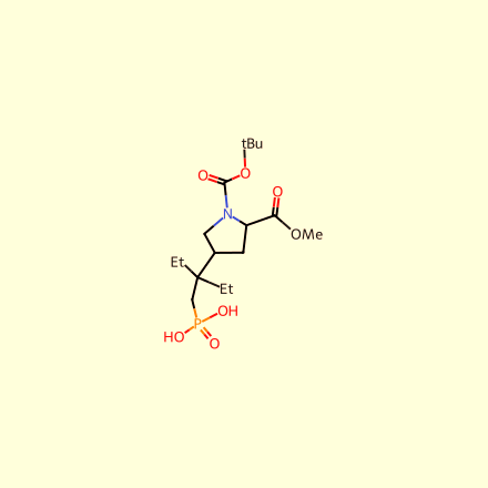 CCC(CC)(CP(=O)(O)O)C1CC(C(=O)OC)N(C(=O)OC(C)(C)C)C1